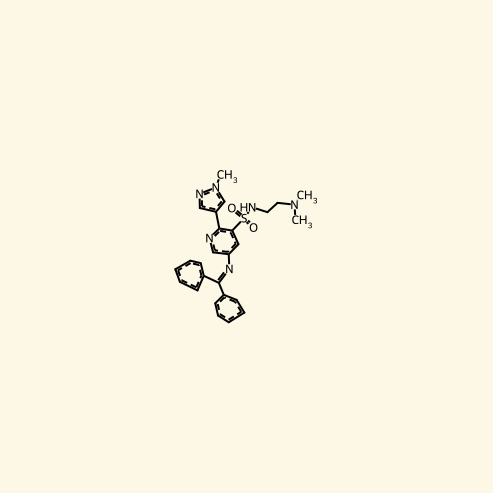 CN(C)CCNS(=O)(=O)c1cc(N=C(c2ccccc2)c2ccccc2)cnc1-c1cnn(C)c1